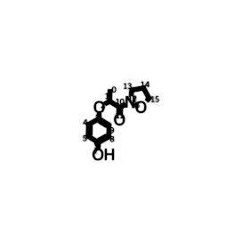 CC(Oc1ccc(O)cc1)C(=O)N1CCCO1